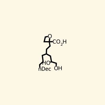 CCCCCCCCCCCCCC(CCC1(C(=O)O)CCO1)CC(O)CO